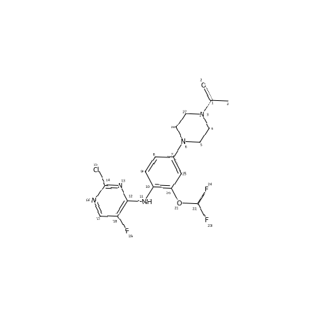 CC(=O)N1CCN(c2ccc(Nc3nc(Cl)ncc3F)c(OC(F)F)c2)CC1